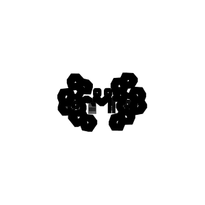 O=C(CC(=O)NCC(O)(Cc1cccc2ccccc12)C(c1cccc2ccccc12)c1cccc2ccccc12)NCC(O)(Cc1cccc2ccccc12)C(c1cccc2ccccc12)c1cccc2ccccc12